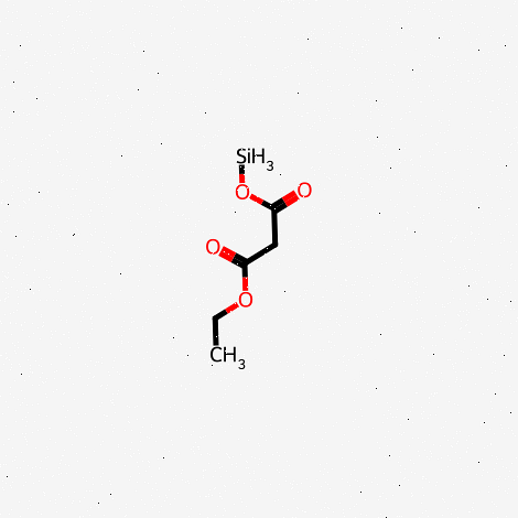 CCOC(=O)CC(=O)O[SiH3]